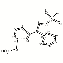 CS(=O)(=O)n1cc(-c2cccc(CC(=O)O)c2)c2ccccc21